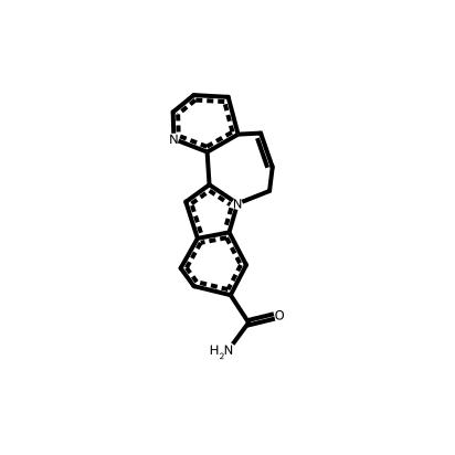 NC(=O)c1ccc2cc3n(c2c1)CC=Cc1cccnc1-3